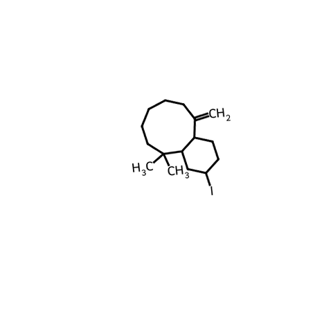 C=C1CCCCCC(C)(C)C2CC(I)CCC12